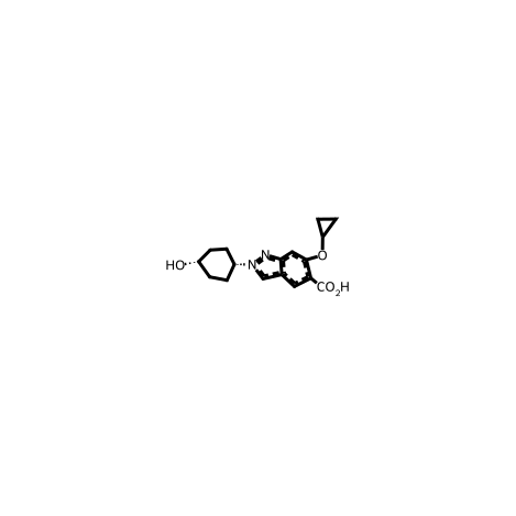 O=C(O)c1cc2cn([C@H]3CC[C@@H](O)CC3)nc2cc1OC1CC1